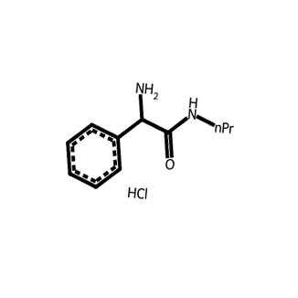 CCCNC(=O)C(N)c1ccccc1.Cl